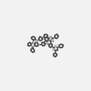 Cc1ccc2c(c1)c1ccccc1n2-c1ccc(-c2nc(-c3ccccc3)cc(-c3ccccc3)n2)cc1-c1nc(-c2ccccc2)nc(-c2cccc(-c3ccc(N4c5ccccc5B5c6ccccc6N(c6ccccc6)c6cccc4c65)cc3)c2)n1